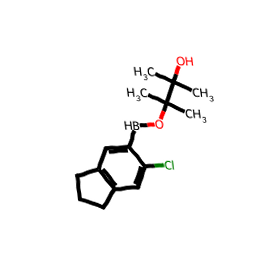 CC(C)(O)C(C)(C)OBc1cc2c(cc1Cl)CCC2